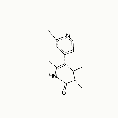 CC1=C(c2ccnc(C)c2)C(C)C(C)C(=O)N1